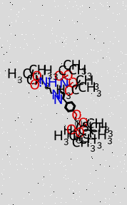 CC(C)(C)OC(=O)NCCCn1nc(-c2ccc(OC[C@@H](O[Si](C)(C)C(C)(C)C)C(=O)OC(C)(C)C)cc2)cc1CN(C(=O)OC(C)(C)C)C(=O)OC(C)(C)C